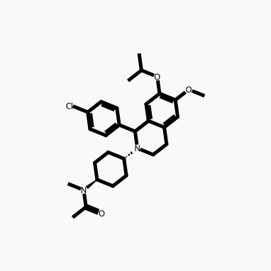 COc1cc2c(cc1OC(C)C)C(c1ccc(Cl)cc1)N([C@H]1CC[C@H](N(C)C(C)=O)CC1)CC2